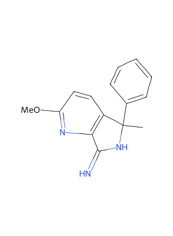 COc1ccc2c(n1)C(=N)NC2(C)c1ccccc1